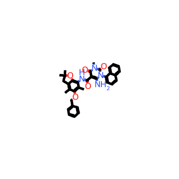 Cc1c2c(c(NC(=O)c3c(N)n(-c4cccc5ccccc45)c(=O)n(C)c3=O)c(C)c1OCc1ccccc1)OC(C)(C)C2